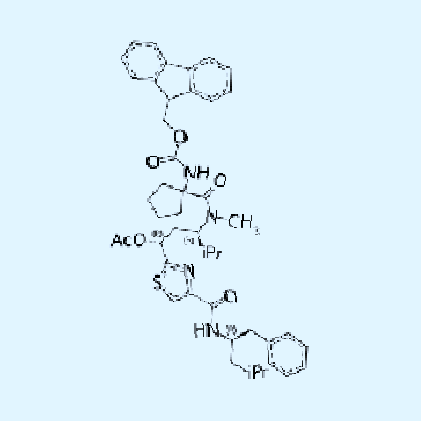 CC(=O)O[C@H](C[C@H](C(C)C)N(C)C(=O)C1(NC(=O)OCC2c3ccccc3-c3ccccc32)CCCC1)c1nc(C(=O)N[C@@H](Cc2ccccc2)CC(C)C)cs1